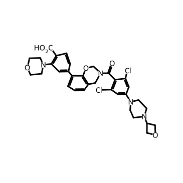 O=C(O)c1ccc(-c2cccc3c2OCN(C(=O)c2c(Cl)cc(N4CCN(C5COC5)CC4)cc2Cl)C3)cc1N1CCOCC1